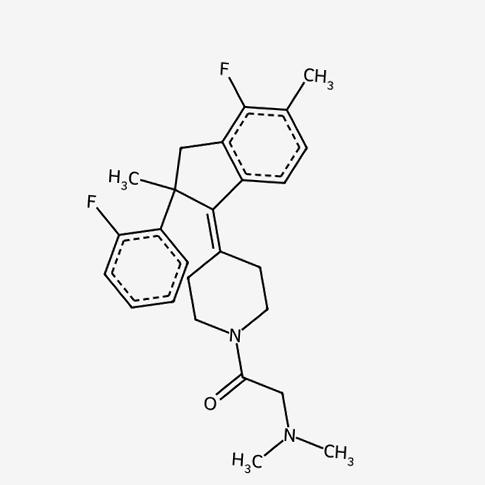 Cc1ccc2c(c1F)CC(C)(c1ccccc1F)C2=C1CCN(C(=O)CN(C)C)CC1